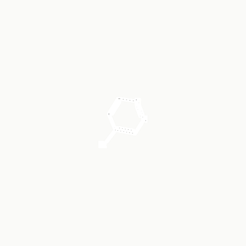 CCc1ccnnc1